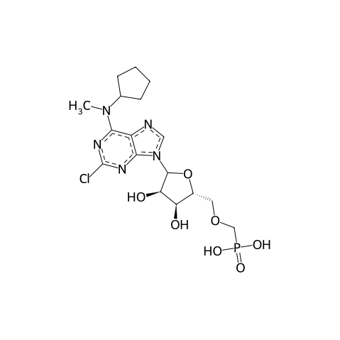 CN(c1nc(Cl)nc2c1ncn2C1O[C@H](COCP(=O)(O)O)[C@@H](O)[C@H]1O)C1CCCC1